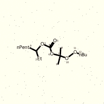 CCCCCC(CC)OC(=O)OC(C)(C)OOCCCC